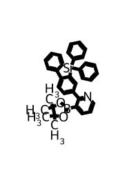 CC1(C)OB(c2cccnc2-c2ccc3c(c2)[Si](c2ccccc2)(c2ccccc2)c2ccccc2-3)OC1(C)C